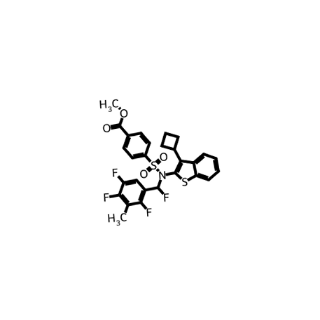 COC(=O)c1ccc(S(=O)(=O)N(c2sc3ccccc3c2C2CCC2)C(F)c2cc(F)c(F)c(C)c2F)cc1